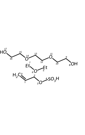 C=CCOS(=O)(=O)O.CCOCC.OCCOCCOCCO